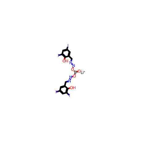 [Li+].[O-]B(ON=NCc1cc(I)cc(I)c1O)ON=NCc1cc(I)cc(I)c1O